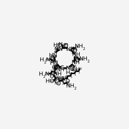 CCCCCCCC(=O)N[C@@H](CCN)C(=O)N[C@H](C(=O)N[C@@H](CCN)C(=O)N[C@H]1CCNC(=O)[C@H](CO)NC(=O)[C@H](CCN)NC(=O)[C@H](CCN)NC(=O)[C@H]([C@@H](C)O)NC(=O)CNC(=O)[C@H](CCN)NC1=O)[C@@H](C)O